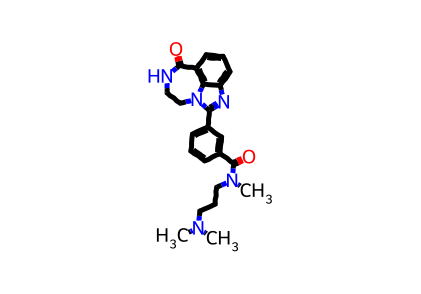 CN(C)CCCN(C)C(=O)c1cccc(-c2nc3cccc4c3n2CCNC4=O)c1